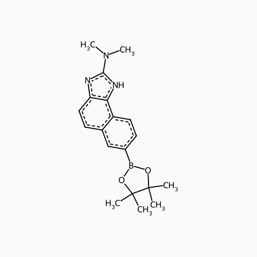 CN(C)c1nc2ccc3cc(B4OC(C)(C)C(C)(C)O4)ccc3c2[nH]1